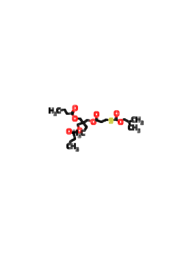 CCCC(=O)OCC(CC)(COC(=O)CCC)COC(=O)CCSC(=O)OCC(C)C